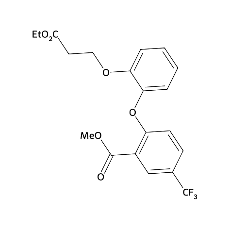 CCOC(=O)CCOc1ccccc1Oc1ccc(C(F)(F)F)cc1C(=O)OC